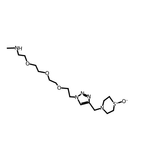 CNCCOCCOCCOCCn1cc(CN2CC[S+]([O-])CC2)nn1